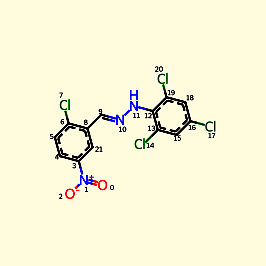 O=[N+]([O-])c1ccc(Cl)c(C=NNc2c(Cl)cc(Cl)cc2Cl)c1